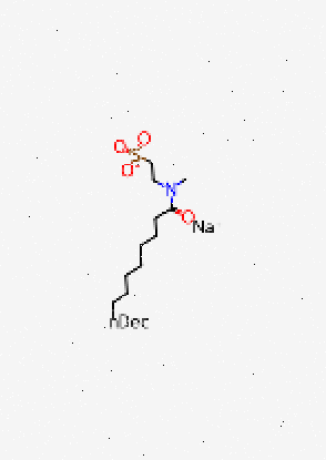 CCCCCCCCCCCCCCCCCC(=O)N(C)CCS(=O)(=O)[O-].[Na+]